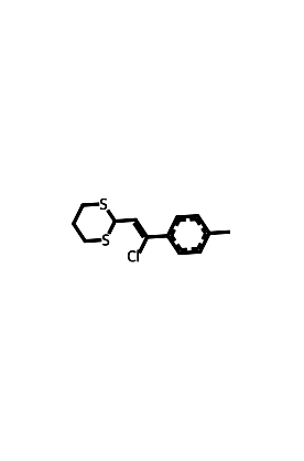 Cc1ccc(C(Cl)=CC2SCCCS2)cc1